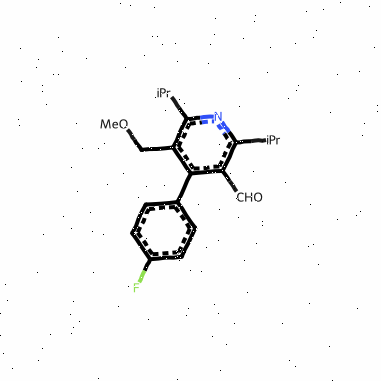 COCc1c(C(C)C)nc(C(C)C)c(C=O)c1-c1ccc(F)cc1